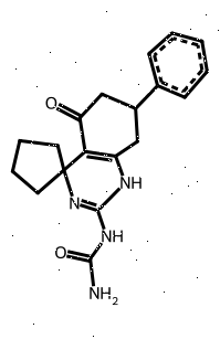 NC(=O)NC1=NC2(CCCC2)C2=C(CC(c3ccccc3)CC2=O)N1